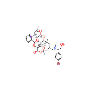 COC(C)(CC(C)CN(C)C(CO)c1ccc(Br)cc1)C(O[C@@H]1O[C@H](C)C[C@H](N(C)C)[C@H]1OC(=O)c1ccccc1)C(C)C1=C(C)C(=O)OC(C)(C)O1